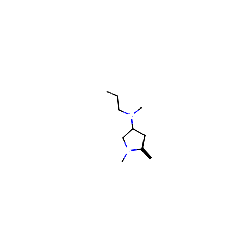 C=C1CC(N(C)CCC(C)C)CN1C